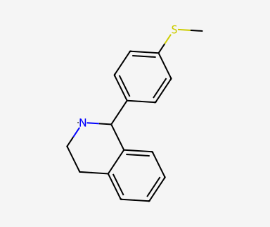 CSc1ccc(C2[N]CCc3ccccc32)cc1